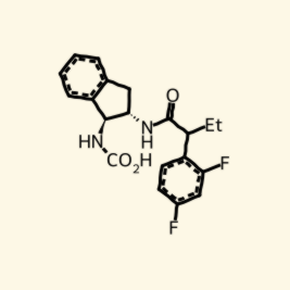 CCC(C(=O)N[C@H]1Cc2ccccc2[C@@H]1NC(=O)O)c1ccc(F)cc1F